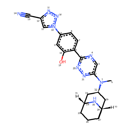 CN(c1cnc(-c2ccc(-n3cc(C#N)nn3)cc2O)nn1)[C@@H]1C[C@H]2CCC[C@@H](C1)N2